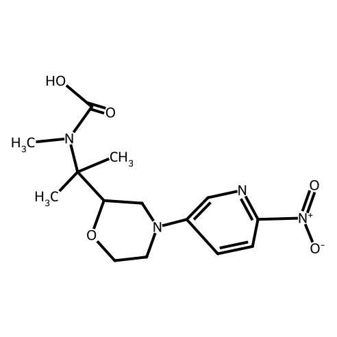 CN(C(=O)O)C(C)(C)C1CN(c2ccc([N+](=O)[O-])nc2)CCO1